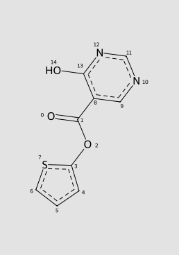 O=C(Oc1cccs1)c1cncnc1O